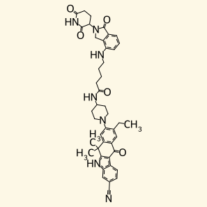 CCc1cc2c(cc1N1CCC(NC(=O)CCCCNc3cccc4c3CN(C3CCC(=O)NC3=O)C4=O)CC1)C(C)(C)c1[nH]c3cc(C#N)ccc3c1C2=O